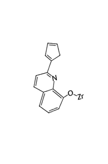 [Zr][O]c1cccc2ccc(C3=CC=CC3)nc12